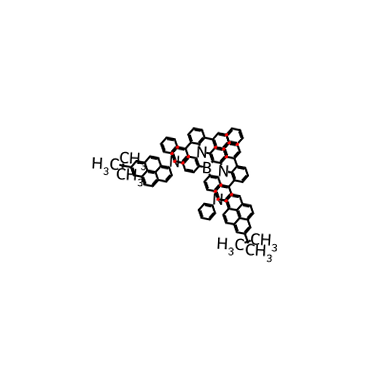 CC(C)(C)c1cc2ccc3ccc(N(c4ccccc4)c4ccc5c(c4)N(c4c(-c6ccccc6)cccc4-c4ccccc4)c4cc(-c6ccccc6)cc6c4B5c4ccc(N(c5ccccc5)c5ccc7ccc8cc(C(C)(C)C)cc9ccc5c7c89)cc4N6c4c(-c5ccccc5)cccc4-c4ccccc4)c4ccc(c1)c2c34